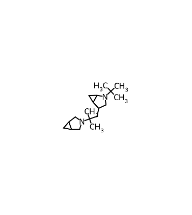 CC(C)(C)N1CC(CC(C)(C)N2CC3CC3C2)C2CC21